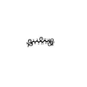 O=C(CCCCC1OCCO1)CCCCC1OCCO1